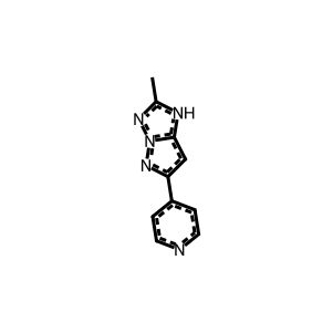 Cc1nn2nc(-c3ccncc3)cc2[nH]1